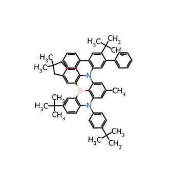 Cc1cc2c3c(c1)N(c1cc(-c4ccccc4)c(C(C)(C)C)cc1-c1ccccc1)c1cc4c(cc1B3c1cc(C(C)(C)C)ccc1N2c1ccc(C(C)(C)C)cc1)CC(C)(C)C4